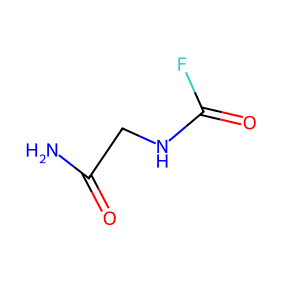 NC(=O)CNC(=O)F